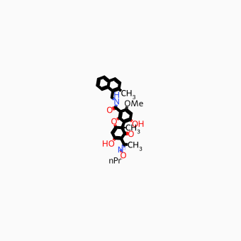 CCCO/N=C(\C)C1=C(O)C=C2Oc3c(C(=O)NCc4c(C)ccc5ccccc45)c(OC)cc(O)c3[C@]2(C)C1=O